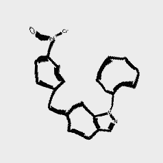 O=[N+]([O-])c1ccc(C=C2C=Cc3cnn(-c4ccccc4)c3C2)cc1